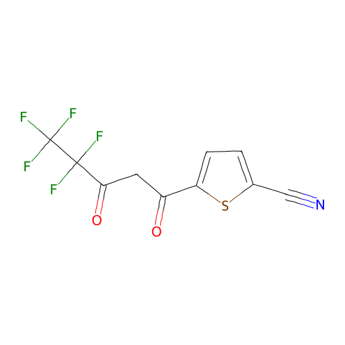 N#Cc1ccc(C(=O)CC(=O)C(F)(F)C(F)(F)F)s1